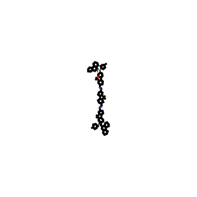 Cc1ccc(N(c2ccc3c(c2)C(C)(C)c2cc(/C=C/c4ccc5c(c4)C(C)(C)c4cc(/C=C/c6ccc7c(c6)C(C)(C)c6cc(N(c8ccc(C)cc8)c8cc9ccccc9c9ccccc89)ccc6-7)ccc4-5)ccc2-3)c2cc3ccccc3c3ccccc23)cc1